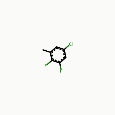 Cc1cc(Cl)cc(F)c1F